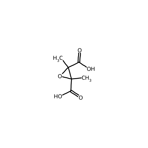 CC1(C(=O)O)OC1(C)C(=O)O